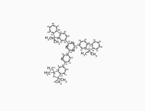 CC1(C)CC(C)(C)c2cc(-c3ccc(-c4nc(-c5ccc6c(c5)C(C)(C)c5ccccc5-6)nc(-c5ccc6c(c5)C(C)(C)c5ccccc5-6)n4)cn3)ccc21